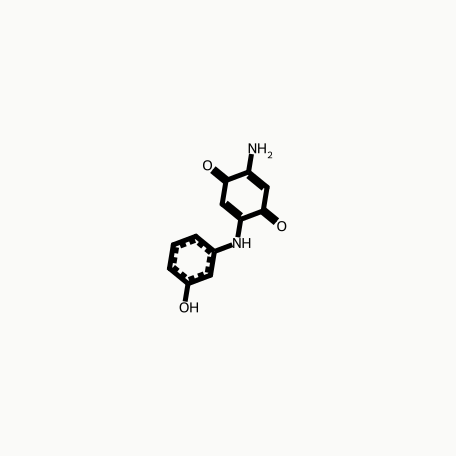 NC1=CC(=O)C(Nc2cccc(O)c2)=CC1=O